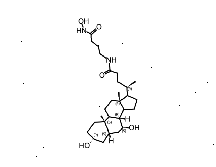 C[C@H](CCC(=O)NCCCC(=O)NO)C1CCC2[C@H]3C(CC[C@@]21C)[C@@]1(C)CC[C@@H](O)C[C@H]1C[C@@H]3O